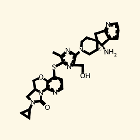 Cc1nc(N2CCC3(CC2)Cc2ncccc2[C@H]3N)c(CO)nc1Sc1ccnc2c1OCC1CN(C3CC3)C(=O)N21